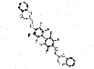 Fc1c(F)c(-c2c(F)c(F)c(OCC3COc4ccccc4O3)c(F)c2F)c(F)c(F)c1OCC1COc2ccccc2O1